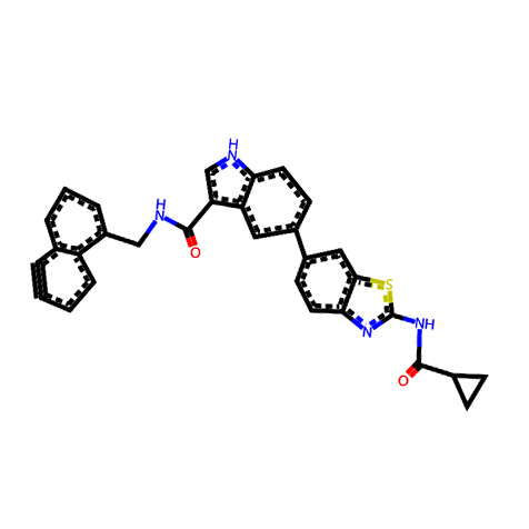 O=C(NCc1cccc2c#cccc12)c1c[nH]c2ccc(-c3ccc4nc(NC(=O)C5CC5)sc4c3)cc12